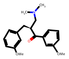 COc1cccc(C[C@@H](CN(C)C)C(=O)c2cccc(OC)c2)c1